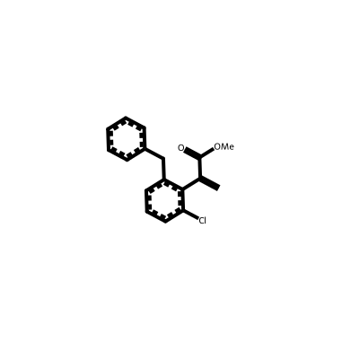 C=C(C(=O)OC)c1c(Cl)cccc1Cc1ccccc1